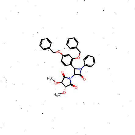 CO[C@H]1C(=O)N(C2C(=O)N(c3ccccc3)[C@@H]2c2ccc(OCc3ccccc3)cc2OCc2ccccc2)C(=O)[C@@H]1OC